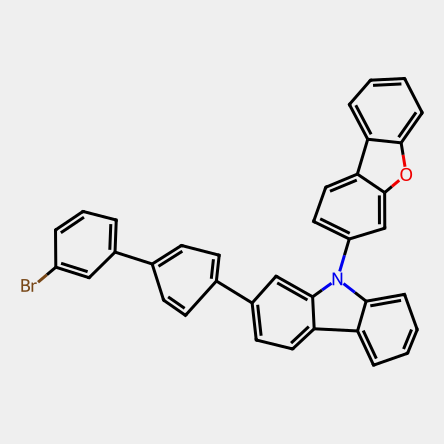 Brc1cccc(-c2ccc(-c3ccc4c5ccccc5n(-c5ccc6c(c5)oc5ccccc56)c4c3)cc2)c1